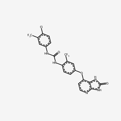 O=C(Nc1ccc(Cl)c(C(F)(F)F)c1)Nc1ccc(Oc2ccnc3[nH]c(=O)[nH]c23)cc1C(F)(F)F